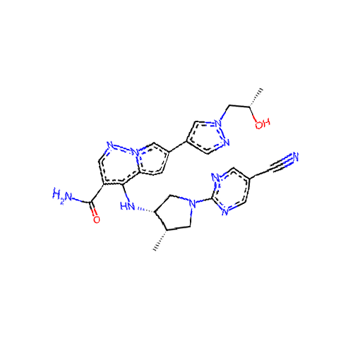 C[C@H](O)Cn1cc(-c2cc3c(N[C@@H]4CN(c5ncc(C#N)cn5)C[C@@H]4C)c(C(N)=O)cnn3c2)cn1